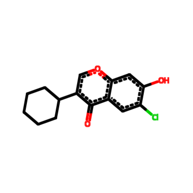 O=c1c(C2CCCCC2)coc2cc(O)c(Cl)cc12